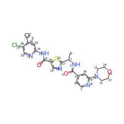 CC(NC(=O)c1ccnc(N2CCOCC2)c1)c1ncc(C(=O)Nc2cc(C(F)(F)F)c(Cl)cn2)s1